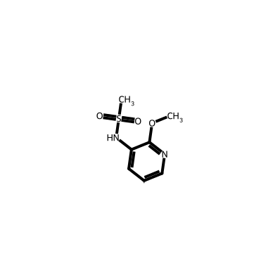 COc1nc[c]cc1NS(C)(=O)=O